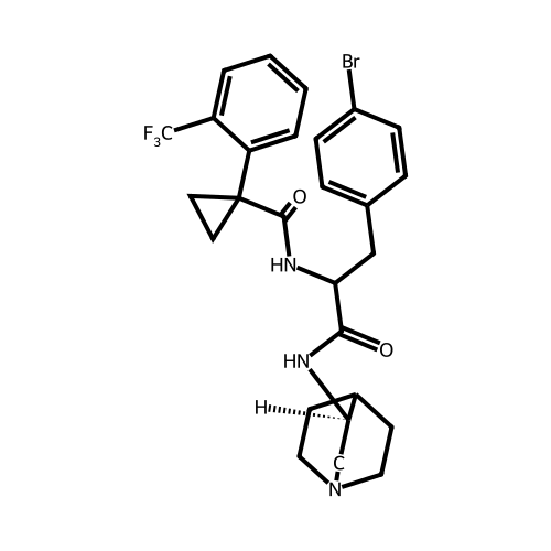 O=C(N[C@@H]1CN2CCC1CC2)C(Cc1ccc(Br)cc1)NC(=O)C1(c2ccccc2C(F)(F)F)CC1